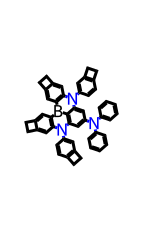 c1ccc(N(c2ccccc2)c2cc3c4c(c2)N(c2ccc5c(c2)CC5)c2cc5c(cc2B4c2cc4c(cc2N3c2ccc3c(c2)CC3)CC4)CC5)cc1